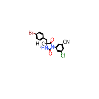 C[C@]1(Cc2ccc(Br)cc2)NC(=O)N(c2cc(Cl)cc(C#N)c2)C1=O